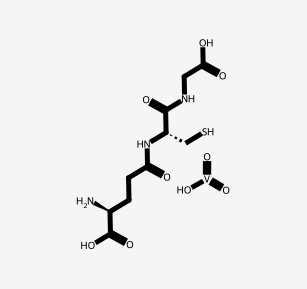 N[C@@H](CCC(=O)N[C@@H](CS)C(=O)NCC(=O)O)C(=O)O.[O]=[V](=[O])[OH]